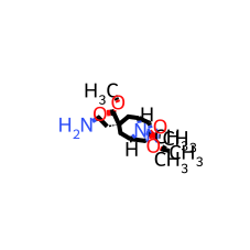 COC(=O)[C@@]1(CCN)C[C@H]2CN(C)C[C@@H](C1)N2C(=O)OC(C)(C)C